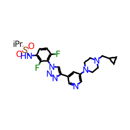 CC(C)S(=O)(=O)Nc1ccc(F)c(-n2cc(-c3cncc(N4CCN(CC5CC5)CC4)c3)nn2)c1F